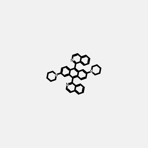 c1ccc2c(-c3c4ccc(N5CCCCC5)cc4c(-c4nccc5ccccc45)c4ccc(N5CCCCC5)cc34)nccc2c1